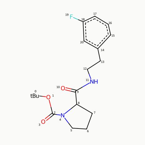 CC(C)(C)OC(=O)N1CCCC1C(=O)NCCc1cccc(F)c1